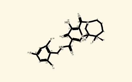 C[C@]1(F)CCCN2C[C@H]1n1cc(C(=O)NCc3c(F)cc(F)cc3F)c(=O)c(O)c1C2=O